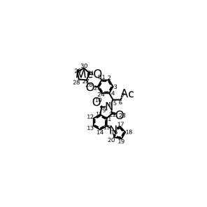 COc1ccc(C(CC(C)=O)N2C(=O)c3cccc(-n4cccc4)c3C2=O)cc1OC1CCCC1